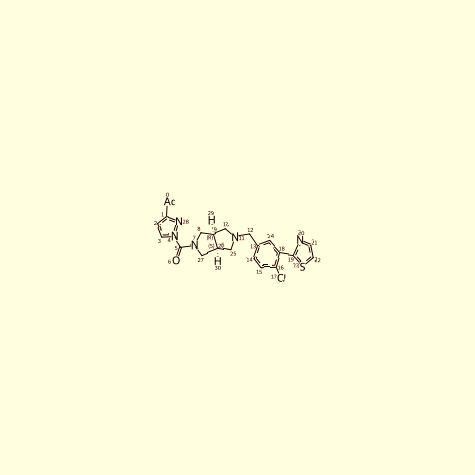 CC(=O)c1ccn(C(=O)N2C[C@H]3CN(Cc4ccc(Cl)c(-c5nccs5)c4)C[C@H]3C2)n1